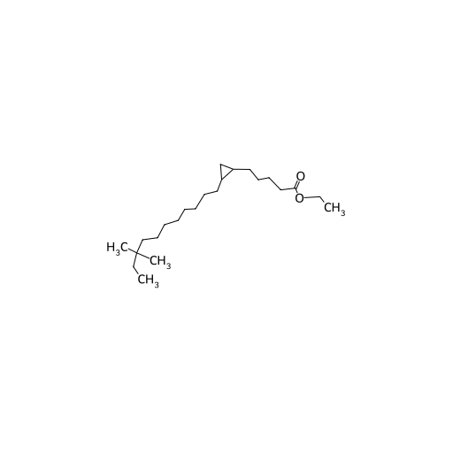 CCOC(=O)CCCCC1CC1CCCCCCCCC(C)(C)CC